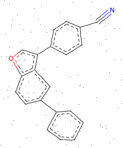 N#Cc1ccc(-c2coc3ccc(-c4ccccc4)cc23)cc1